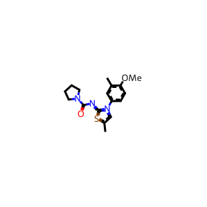 COc1ccc(-n2cc(C)s/c2=N\C(=O)N2CCCC2)cc1C